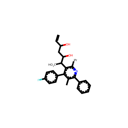 C=CC(O)CC(O)C(C(=O)O)c1c(C(C)C)nc(-c2ccccc2)c(C)c1-c1ccc(F)cc1